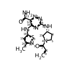 C=CC(=O)N1CC[C@@H](Nc2nnc(C(N)=O)c(Nc3cc(C)ns3)n2)C1